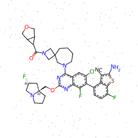 N#Cc1c(N)sc2c(F)ccc(-c3c(Cl)cc4c(N5CCCCC6(CN(C(=O)C7C8COCC87)C6)C5)nc(OC[C@@]56CCCN5C[C@H](F)C6)nc4c3F)c12